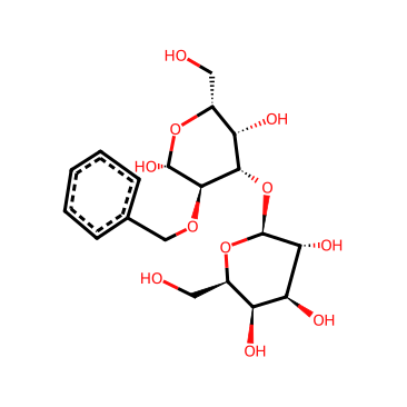 OC[C@H]1O[C@@H](O[C@H]2[C@@H](O)[C@@H](CO)O[C@@H](O)[C@@H]2OCc2ccccc2)[C@H](O)[C@@H](O)[C@H]1O